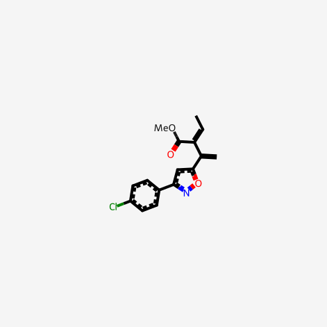 C=C(C(=CC)C(=O)OC)c1cc(-c2ccc(Cl)cc2)no1